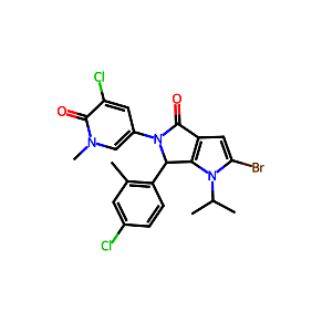 Cc1cc(Cl)ccc1C1c2c(cc(Br)n2C(C)C)C(=O)N1c1cc(Cl)c(=O)n(C)c1